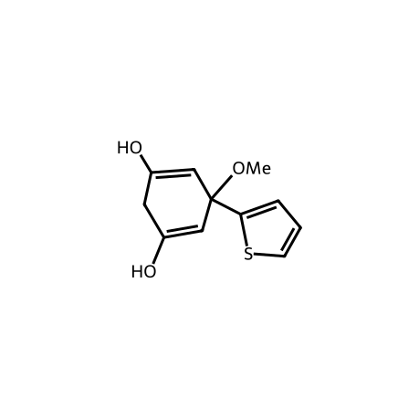 COC1(c2cccs2)C=C(O)CC(O)=C1